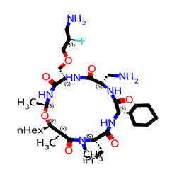 CCCCCC[C@H]1O[C@@H](C)NC(=O)[C@H](COC[C@H](F)CN)NC(=O)[C@H](CN)NC(=O)[C@H](C2CCCCC2)NC(=O)[C@H](CC(C)C)N(C)C(=O)[C@@H]1C